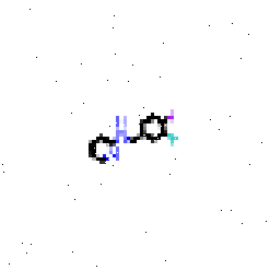 Fc1cc(CNc2ccccn2)ccc1I